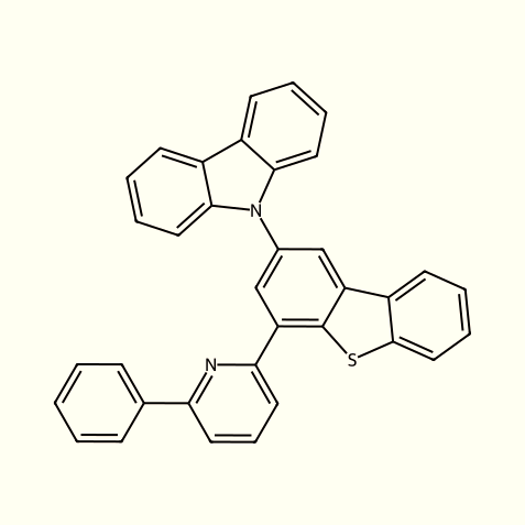 c1ccc(-c2cccc(-c3cc(-n4c5ccccc5c5ccccc54)cc4c3sc3ccccc34)n2)cc1